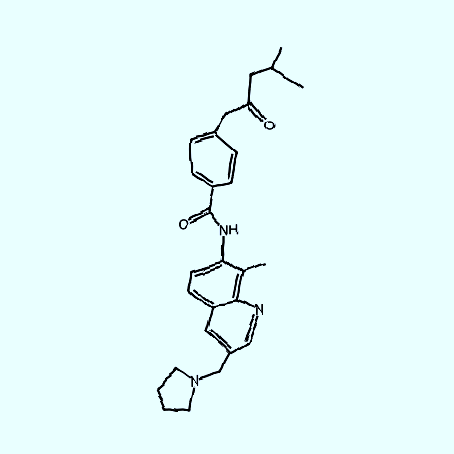 Cc1c(NC(=O)c2ccc(CC(=O)CC(C)C)cc2)ccc2cc(CN3CCCC3)cnc12